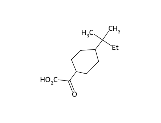 CCC(C)(C)C1CCC(C(=O)C(=O)O)CC1